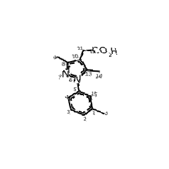 Cc1cccc(-n2nc(C)c(CC(=O)O)c2C)c1